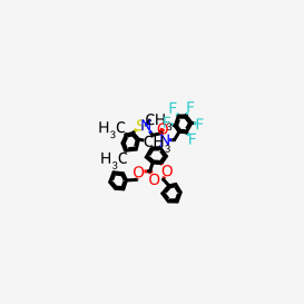 Cc1cc(C)c(SN(C)CC(=O)N(Cc2c(F)c(F)c(F)c(F)c2F)c2ccc(C(=O)OCc3ccccc3)c(OCc3ccccc3)c2)c(C)c1